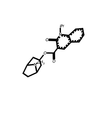 CC(C)n1c(=O)c(C(=O)OC2CC3CCC(C2)N3C)cc2ccccc21